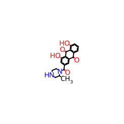 CC1CNCCN1C(=O)c1cc(O)c2c(c1)C(=O)c1cccc(O)c1C2=O